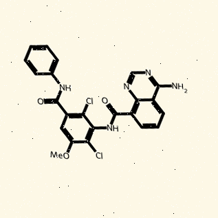 COc1cc(C(=O)Nc2ccccc2)c(Cl)c(NC(=O)c2cccc3c(N)ncnc23)c1Cl